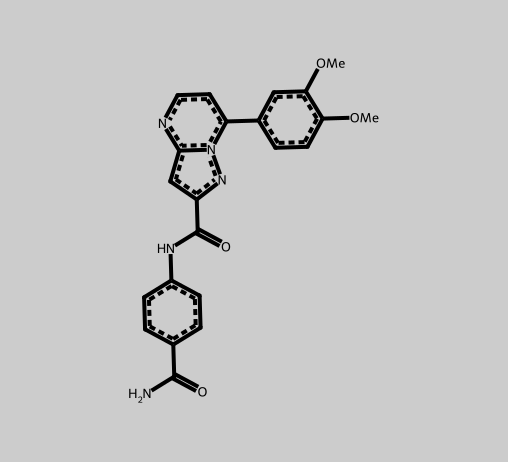 COc1ccc(-c2ccnc3cc(C(=O)Nc4ccc(C(N)=O)cc4)nn23)cc1OC